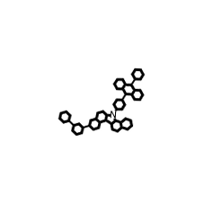 c1ccc(-c2cccc(-c3ccc4c(ccc5c4c4ccc6ccccc6c4n5-c4ccc(-c5c6ccccc6c(-c6ccccc6)c6ccccc56)cc4)c3)c2)cc1